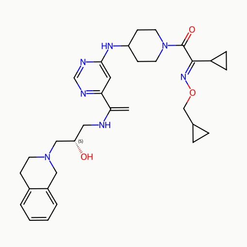 C=C(NC[C@H](O)CN1CCc2ccccc2C1)c1cc(NC2CCN(C(=O)C(=NOCC3CC3)C3CC3)CC2)ncn1